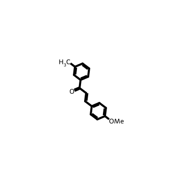 COc1ccc(/C=C/C(=O)c2cccc(C)c2)cc1